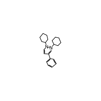 C1=CN(C2CCCCC2)N(C2CCCCC2)C=C1c1ccccc1